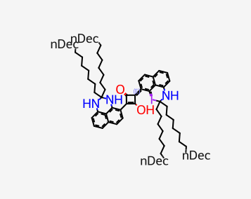 CCCCCCCCCCCCCCCCCC1(CCCCCCCCCCCCCCCCC)Nc2cccc3ccc(C4=C(O)/C(=c5/ccc6cccc7c6c5=IC(CCCCCCCCCCCCCCCCC)(CCCCCCCCCCCCCCCCC)N7)C4=O)c(c23)N1